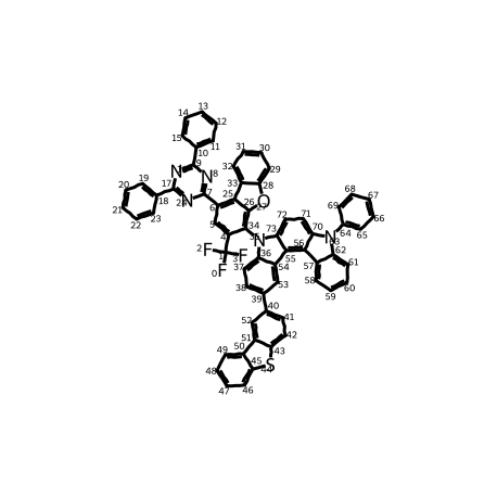 FC(F)(F)c1cc(-c2nc(-c3ccccc3)nc(-c3ccccc3)n2)c2c(oc3ccccc32)c1-n1c2ccc(-c3ccc4sc5ccccc5c4c3)cc2c2c3c4ccccc4n(-c4ccccc4)c3ccc21